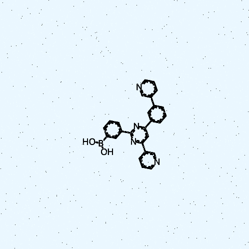 OB(O)c1cccc(-c2nc(-c3cccnc3)cc(-c3cccc(-c4cccnc4)c3)n2)c1